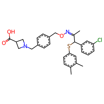 CC(=NOCc1ccc(CN2CC(C(=O)O)C2)cc1)C(Sc1ccc(C)c(C)c1)c1cccc(Cl)c1